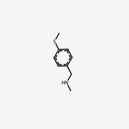 CNCc1ccc(SC)cc1